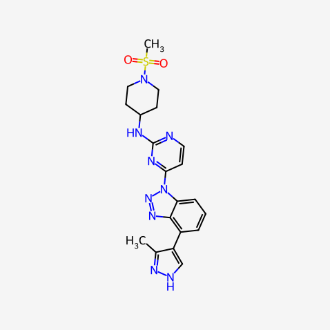 Cc1n[nH]cc1-c1cccc2c1nnn2-c1ccnc(NC2CCN(S(C)(=O)=O)CC2)n1